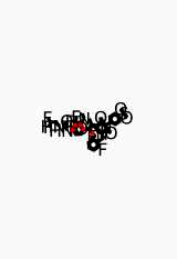 CN(Cc1c(-c2ccc(NC(=O)NCC(F)F)cc2)sc2c1c(=O)n(-c1ccc(S(C)(=O)=O)cc1)c(=O)n2Cc1c(F)cccc1F)C(=O)C(F)(F)F